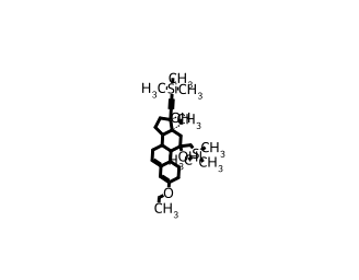 CCOC1=CC2=CCC3C(C2CC1)C(O)(C[Si](C)(C)C)C[C@@]1(CC)C3CC[C@@]1(O)C#C[Si](C)(C)C